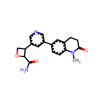 CN1C(=O)CCc2cc(-c3cncc([C]4COC4C(N)=O)c3)ccc21